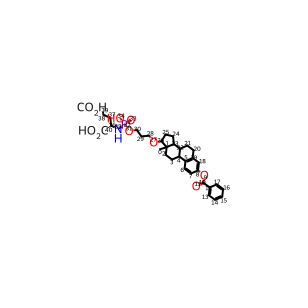 CC12CCC3c4ccc(OC(=O)c5ccccc5)cc4CCC3C1CCC2OCCCOP(=O)(O)N[C@@H](CCC(=O)O)C(=O)O